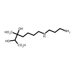 NCCCNCCCCC(O)(C(=O)O)C(O)C(=O)O